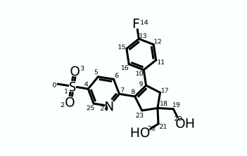 CS(=O)(=O)c1ccc(C2=C(c3ccc(F)cc3)CC(CO)(CO)C2)nc1